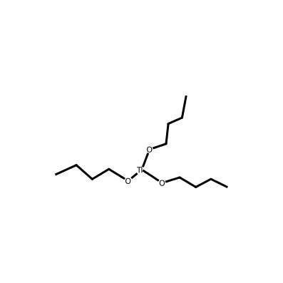 CCCC[O][Tl]([O]CCCC)[O]CCCC